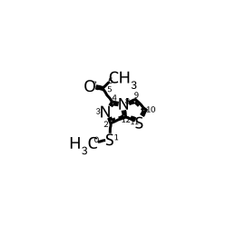 CSc1nc(C(C)=O)n2ccsc12